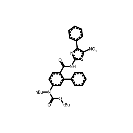 CCCCN(C(=O)OC(C)(C)C)c1ccc(C(=O)Nc2nc(-c3ccccc3)c([N+](=O)[O-])s2)c(-c2ccccc2)c1